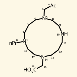 CCCN1CCCN(CC(C)=O)CCNCCCN(CC(=O)O)CC1